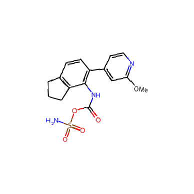 COc1cc(-c2ccc3c(c2NC(=O)OS(N)(=O)=O)CCC3)ccn1